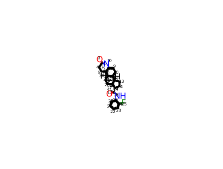 CN1C(=O)CC[C@@]2(C)C1=CC[C@H]1[C@@H]3CC[C@H](C(=O)Nc4ccccc4F)[C@@]3(C)CC[C@@H]12